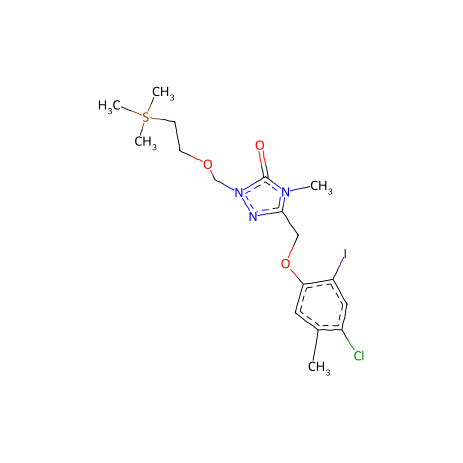 Cc1cc(OCc2nn(COCCS(C)(C)C)c(=O)n2C)c(I)cc1Cl